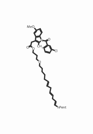 CCCCCC=CCC=CCC=CCCCCCOCCCOC(=O)Cc1c(C)n(C(=O)c2cccc(Cl)c2)c2ccc(OC)cc12